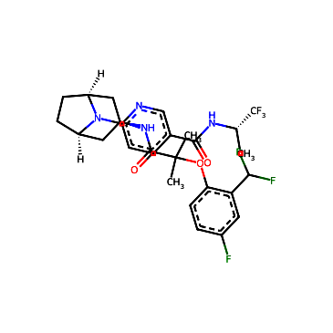 C[C@H](NC(=O)c1ccc(N2[C@@H]3CC[C@H]2C[C@@H](NC(=O)C(C)(C)Oc2ccc(F)cc2C(F)F)C3)nc1)C(F)(F)F